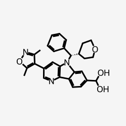 Cc1noc(C)c1-c1cnc2c3ccc(C(O)O)cc3n([C@H](c3ccccc3)C3CCOCC3)c2c1